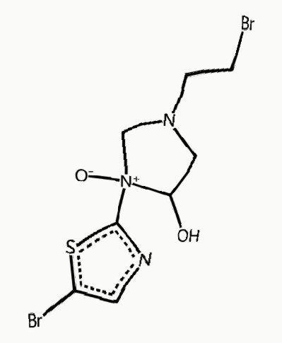 [O-][N+]1(c2ncc(Br)s2)CN(CCBr)CC1O